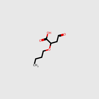 CCCCOC(CC=O)C(=O)O